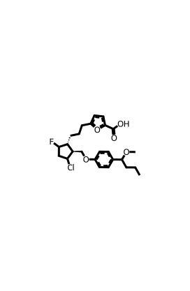 CCCC(OC)c1ccc(OC[C@H]2C(Cl)CC(F)[C@@H]2CCCc2ccc(C(=O)O)o2)cc1